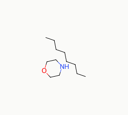 C1COCCN1.CCCCCCCC